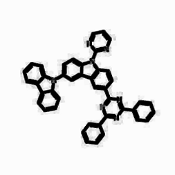 c1ccc(-c2nc(-c3ccccc3)nc(-c3ccc4c(c3)c3cc(-n5c6ccccc6c6ccccc65)ccc3n4-c3ncccn3)n2)cc1